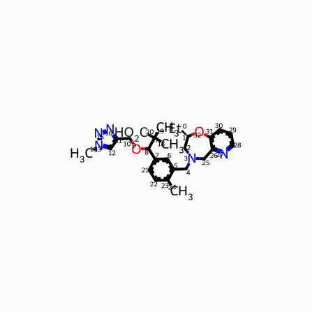 CC[C@@H]1CN(Cc2cc(C(OCc3cn(C)nn3)C(C)(C)C(=O)O)ccc2C)Cc2ncccc2O1